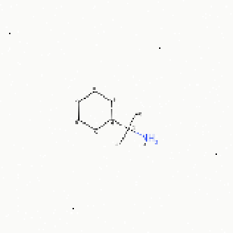 [CH2]C(C)(N)C1CCCCC1